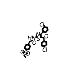 CCS(=O)(=O)c1ccc(CC(=O)Nc2nc(-c3cccc(Cl)c3)c(C(=O)c3ccc(Cl)cc3)s2)cc1